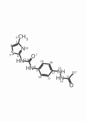 Cc1csc(NC(=O)Nc2ccc(NNC(=O)I)cc2)n1